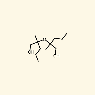 CCCC(C)(CO)OC(C)(CO)CCC